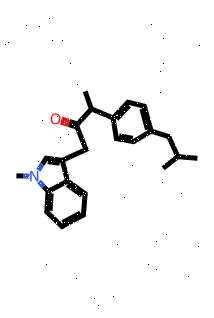 CC(C)Cc1ccc(C(C)C(=O)Cc2cn(C)c3ccccc23)cc1